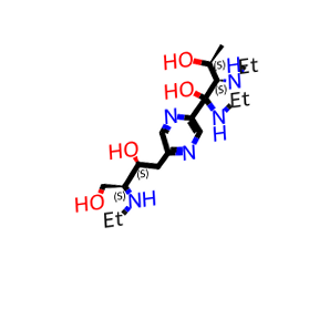 CCN[C@@H](CO)[C@@H](O)Cc1cnc(C(O)(NCC)[C@@H](NCC)[C@H](C)O)cn1